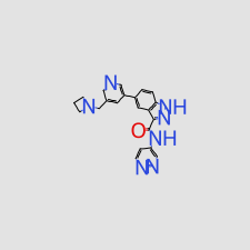 O=C(Nc1ccnnc1)c1n[nH]c2ccc(-c3cncc(CN4CCC4)c3)cc12